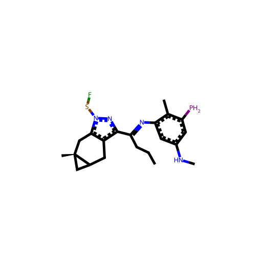 CCC/C(=N\c1cc(NC)cc(P)c1C)c1nn(SF)c2c1CC1C[C@]1(C)C2